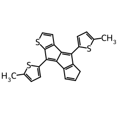 Cc1ccc(C2=C3C(=C(c4ccc(C)s4)c4sccc43)C3=C2CC=C3)s1